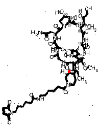 CC[C@H](C)[C@@H]1NC(=O)CNC(=O)[C@@H]2Cc3c([nH]c4c(CSC5CCN(C(=O)CCCCCNC(=O)CCCCCN6C(=O)C=CC6=O)CC5)c(OC)ccc34)[S+]([O-])C[C@H](NC(=O)CNC1=O)C(=O)N[C@@H](CC(N)=O)C(=O)N1C[C@H](O)C[C@H]1C(=O)N[C@@H]([C@@H](C)[C@@H](O)CO)C(=O)N2